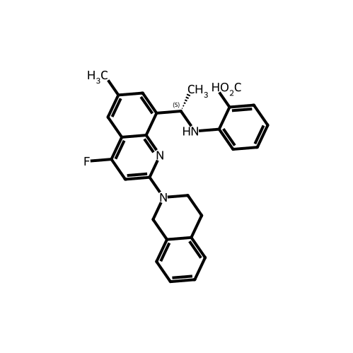 Cc1cc([C@H](C)Nc2ccccc2C(=O)O)c2nc(N3CCc4ccccc4C3)cc(F)c2c1